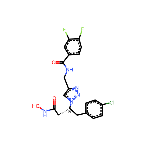 O=C(C[C@@H](Cc1ccc(Cl)cc1)n1cc(CNC(=O)c2ccc(F)c(F)c2)nn1)NO